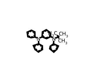 CC(C)(C)N(c1ccccc1)c1cccc(N(c2ccccc2)c2ccccc2)c1